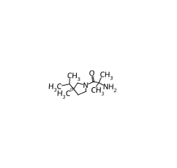 CC(C)[C@]1(C)CCN(C(=O)C(C)(C)N)C1